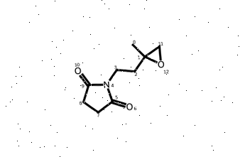 CC1(CCN2C(=O)CCC2=O)CO1